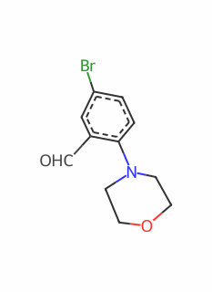 O=Cc1cc(Br)ccc1N1CCOCC1